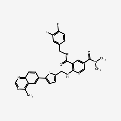 CN(C)C(=O)c1cnc(NCc2ccc(-c3ccc4ncnc(N)c4c3)s2)c(C(=O)NCc2ccc(F)c(F)c2)c1